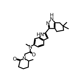 CC1CCCC(=O)N1CC(=O)N(C)c1ccc2cc(-c3n[nH]c4c3CCC(C)(C)C4)[nH]c2c1